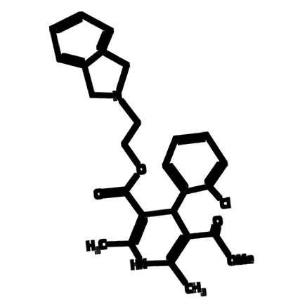 COC(=O)C1=C(C)NC(C)=C(C(=O)OCCN2Cc3ccccc3C2)C1c1ccccc1Cl